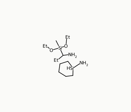 CCO[Si](C)(OCC)C(N)CC.N[SiH]1CCCCC1